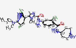 CN(C)c1nc(F)c(-c2cnc(C(=O)Nc3ccc(C(=O)NC4CCNCC4)c(Cl)c3)n2C)cc1F